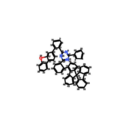 c1ccc(-c2nc(-c3ccccc3-c3ccc4c(c3)oc3ccccc34)nc(-c3ccccc3-c3cccc4c3-c3ccccc3C43c4ccccc4-c4ccccc43)n2)cc1